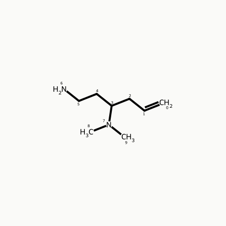 C=CCC(CCN)N(C)C